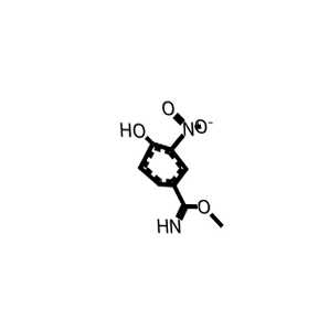 COC(=N)c1ccc(O)c([N+](=O)[O-])c1